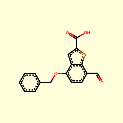 O=Cc1ccc(OCc2ccccc2)c2cc(C(=O)O)sc12